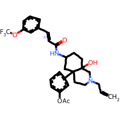 C=CCN1CCC2(c3cccc(OC(C)=O)c3)CC(NC(=O)/C=C/c3cccc(OC(F)(F)F)c3)CCC2(O)C1